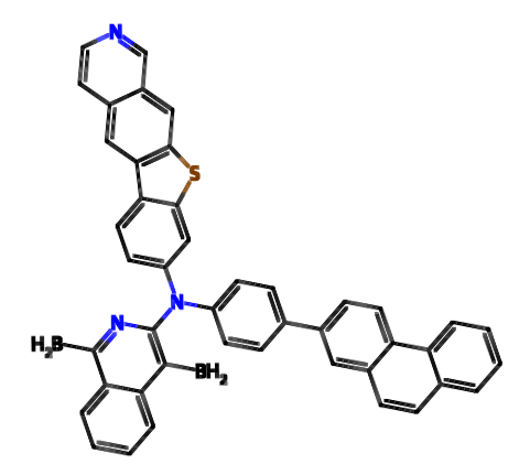 Bc1nc(N(c2ccc(-c3ccc4c(ccc5ccccc54)c3)cc2)c2ccc3c(c2)sc2cc4cnccc4cc23)c(B)c2ccccc12